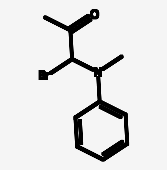 CC(=O)C(Br)N(C)c1ccccc1